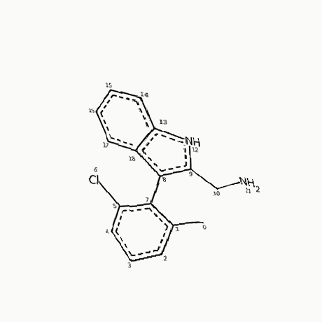 Cc1cccc(Cl)c1-c1c(CN)[nH]c2ccccc12